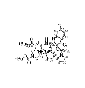 CCCCOC(=O)N1CCN(C(=O)[C@H](CCC(=O)OC(C)(C)C)NC(=O)c2cc(O[C@H](C)C(=O)N3CCC[C@H]3c3ccc(F)cc3)c3ccc(C)cc3n2)CC1